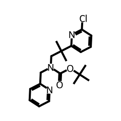 CC(C)(C)OC(=O)N(Cc1ccccn1)CC(C)(C)c1cccc(Cl)n1